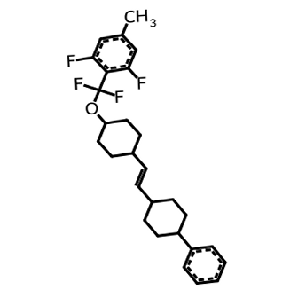 Cc1cc(F)c(C(F)(F)OC2CCC(/C=C/C3CCC(c4ccccc4)CC3)CC2)c(F)c1